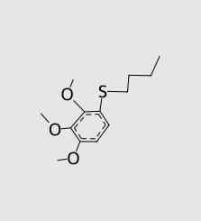 CCCCSc1ccc(OC)c(OC)c1OC